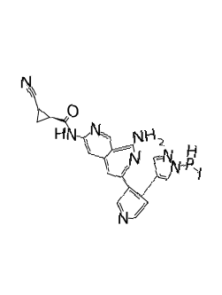 N#CC1C[C@@H]1C(=O)Nc1cc2cc(-c3cnccc3-c3cnn(PI)c3)nc(N)c2cn1